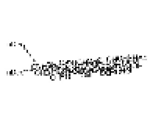 CCCCCCCCCCCCC/C=C/[C@@H](O)[C@H](CO[C@@H]1OC(CO)[C@@H](O[C@@H]2OC(CO)[C@H](O[C@@H]3OC(CO)[C@H](O)[C@H](O[C@H]4OC(CO)[C@H](O)[C@H](O[C@H]5OC(CO)[C@H](O)[C@H](O[C@H]6OC(CO)[C@H](O)[C@H](O[C@H]7OC(CO)[C@H](O)[C@H](O[C@H]8OC(CO)[C@H](O)[C@H](O[C@@H]9OC(CO)[C@H](O)[C@H](O)C9NC(C)=O)C8O)C7O)C6O)C5O)C4O)C3O)[C@H](O)C2O)[C@H](O)C1O)NC(=O)CCCCCCCCCCCCCCCCCCC